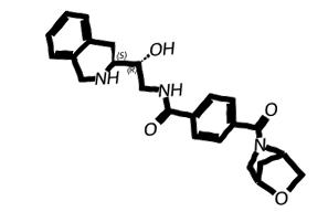 O=C(NC[C@@H](O)[C@@H]1Cc2ccccc2CN1)c1ccc(C(=O)N2CC3CC2CO3)cc1